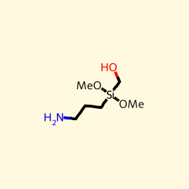 CO[Si](CO)(CCCN)OC